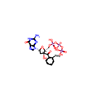 CNc1ccccc1C(=O)[C@]1(O)C[C@H](n2cnc3c(=O)[nH]c(N)nc32)O[C@@H]1COP(=O)(O)OP(=O)(O)OP(=O)(O)O